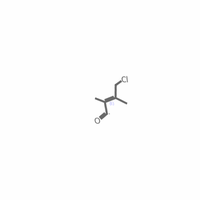 C/C([C]=O)=C(/C)CCl